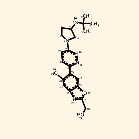 CC(C)(C)NC1CCN(c2ccc(-c3cc4oc(CO)nc4cc3O)nn2)C1